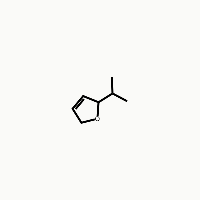 CC(C)C1C=CCO1